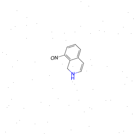 O=Nc1cccc2c1CNC=C2